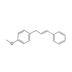 COc1ccc(CC=Cc2ccccc2)cc1